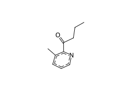 CCCC(=O)c1ncccc1C